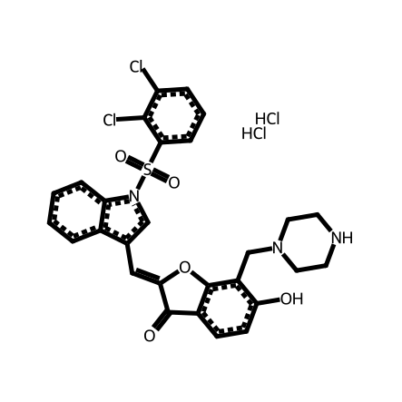 Cl.Cl.O=C1/C(=C/c2cn(S(=O)(=O)c3cccc(Cl)c3Cl)c3ccccc23)Oc2c1ccc(O)c2CN1CCNCC1